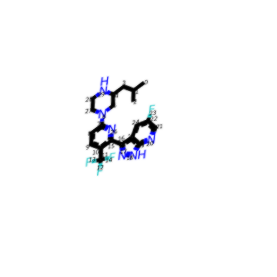 CC(C)CC1CN(c2ccc(C(F)(F)F)c(-c3n[nH]c4ncc(F)cc34)n2)CCN1